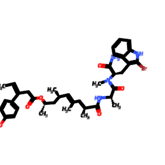 C/C=C(/CC(=O)O[C@@H](C)C[C@@H](C)/C=C(\C)C[C@H](C)C(=O)N[C@@H](C)C(=O)N(C)[C@H](Cc1c(Br)[nH]c2ccccc12)C(N)=O)c1ccc(O)cc1